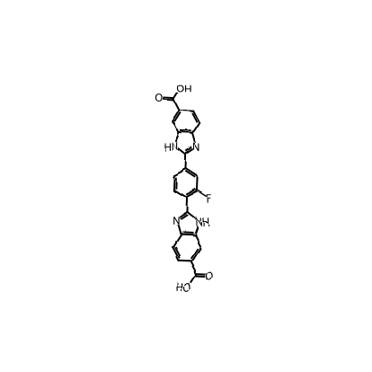 O=C(O)c1ccc2nc(-c3ccc(-c4nc5ccc(C(=O)O)cc5[nH]4)c(F)c3)[nH]c2c1